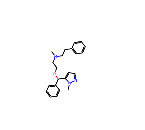 CN(CCO[C@H](c1ccccc1)c1ccnn1C)CCc1ccccc1